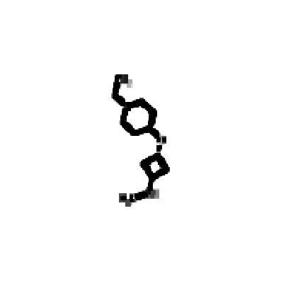 CCN1CCC(O[C@H]2C[C@H](NC)C2)CC1